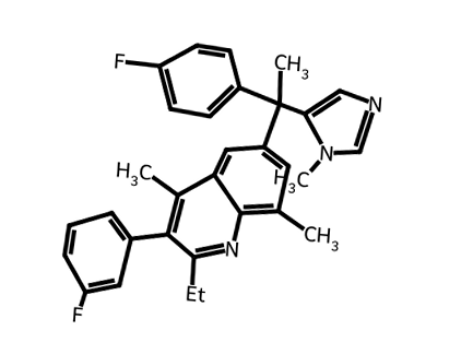 CCc1nc2c(C)cc(C(C)(c3ccc(F)cc3)c3cncn3C)cc2c(C)c1-c1cccc(F)c1